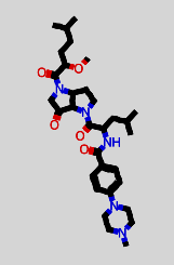 COC(CCC(C)C)C(=O)N1CC(=O)C2C1CCN2C(=O)C(CC(C)C)NC(=O)c1ccc(N2CCN(C)CC2)cc1